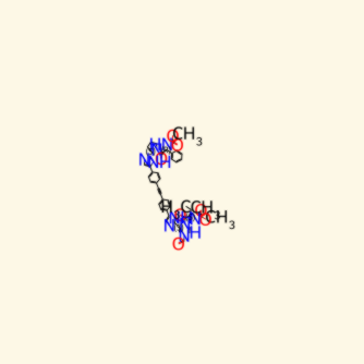 COC(=O)N[C@H](C(=O)N1CCN(C=O)C[C@H]1c1ncc(-c2ccc(C#Cc3ccc(-c4cnc([C@@H]5CCCN5C(=O)[C@H](NC(=O)OC)c5ccccc5)[nH]4)cc3)cc2)[nH]1)C(C)C